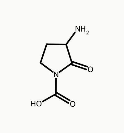 NC1CCN(C(=O)O)C1=O